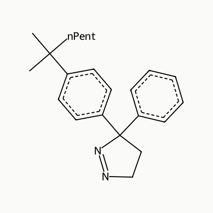 CCCCCC(C)(C)c1ccc(C2(c3ccccc3)CCN=N2)cc1